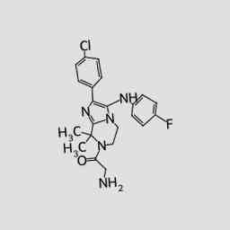 CC1(C)c2nc(-c3ccc(Cl)cc3)c(Nc3ccc(F)cc3)n2CCN1C(=O)CN